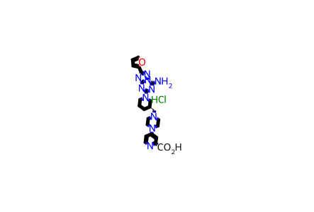 Cl.Nc1nc(N2CCC[C@@H](CN3CCN(c4ccnc(C(=O)O)c4)CC3)C2)nc2nc(-c3ccco3)nn12